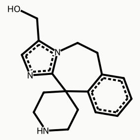 OCc1cnc2n1CCc1ccccc1C21CCNCC1